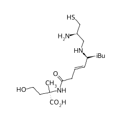 CC[C@H](C)[C@@H](/C=C/CC(=O)N[C@](C)(CCO)C(=O)O)NC[C@@H](N)CS